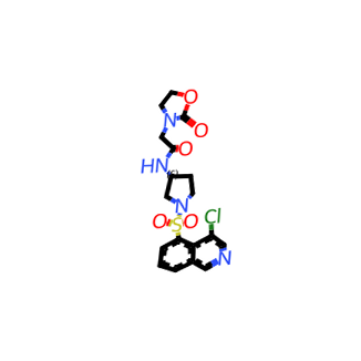 O=C(CN1CCOC1=O)N[C@H]1CCN(S(=O)(=O)c2cccc3cncc(Cl)c23)C1